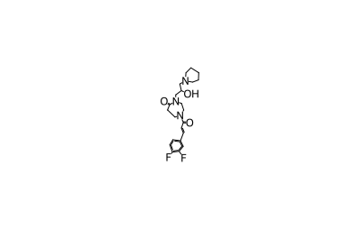 O=C(/C=C/c1ccc(F)c(F)c1)N1CCC(=O)N(CC(O)CN2CCCCC2)CC1